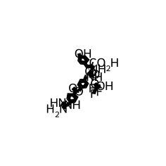 N=C(N)Nc1ccc(C(=O)Oc2ccc(CNS(=O)(=O)N[C@@H](Cc3ccc(O)cc3)C(=O)O)cc2)cc1.O=C(O)C(F)(F)F